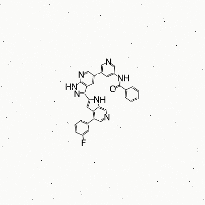 O=C(Nc1cncc(-c2cnc3[nH]nc(-c4cc5c(-c6cccc(F)c6)cncc5[nH]4)c3c2)c1)c1ccccc1